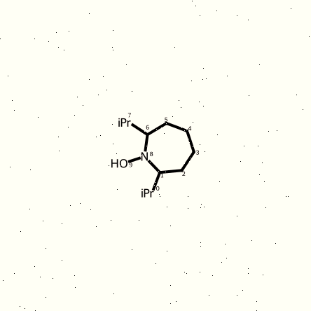 CC(C)C1CCCCC(C(C)C)N1O